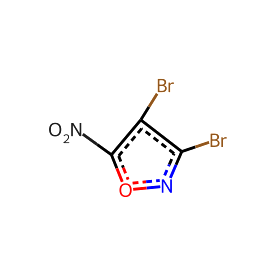 O=[N+]([O-])c1onc(Br)c1Br